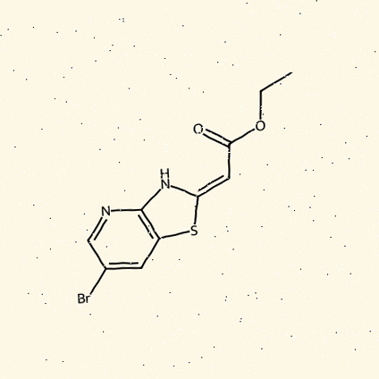 CCOC(=O)/C=C1\Nc2ncc(Br)cc2S1